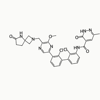 COc1nc(-c2cccc(-c3cccc(NC(=O)c4cc(C)n[nH]c4=O)c3Cl)c2Cl)cnc1CN1CC2(CCC(=O)N2)C1